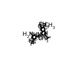 COc1cc2nc(C3CC3)nc(N[C@H](C)c3cc(N)cc(C(F)(F)F)c3)c2cc1OC